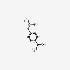 O=C(O)c1ccc(CC(O)F)cc1